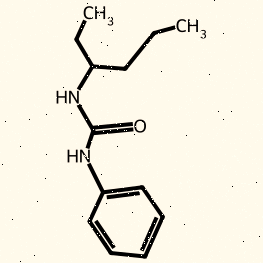 CCCC(CC)NC(=O)Nc1ccccc1